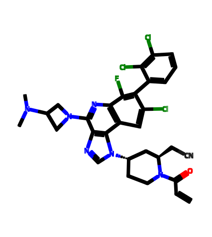 C=CC(=O)N1CC[C@H](n2cnc3c(N4CC(N(C)C)C4)nc4c(F)c(-c5cccc(Cl)c5Cl)c(Cl)cc4c32)C[C@H]1CC#N